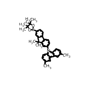 Cc1ccc2c(c1)c1cc(C)ccc1n2-c1ccc2c(c1)C(C)(C)c1cc(B3OC(C)(C)C(C)(C)O3)ccc1-2